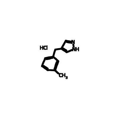 Cc1cccc(Cc2cn[nH]c2)c1.Cl